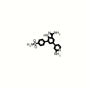 Nc1cc(-c2cc(-c3ccc(S(N)(=O)=O)cc3)c3[nH]nc(N)c3c2)ccn1